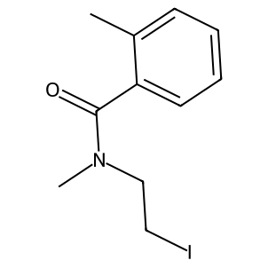 Cc1ccccc1C(=O)N(C)CCI